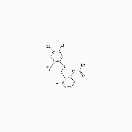 CCC(=O)Oc1cccc(C)c1COc1cc(Cl)c(CC)cc1C(F)(F)F